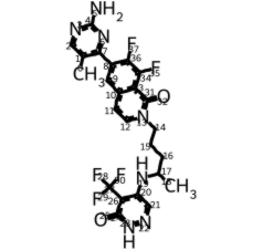 Cc1cnc(N)nc1-c1cc2ccn(CCCC(C)Nc3cn[nH]c(=O)c3C(F)(F)F)c(=O)c2c(F)c1F